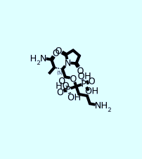 CC(C(N)=O)[C@@H](C(=O)OC(CCCN)(P(=O)(O)O)P(=O)(O)O)N1C(=O)CCC1=O